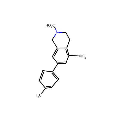 O=C(O)N1CCc2c(cc(-c3ccc(C(F)(F)F)cc3)cc2[N+](=O)[O-])C1